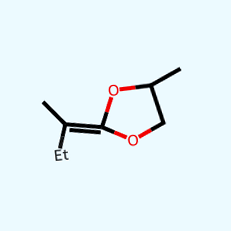 CC/C(C)=C1\OCC(C)O1